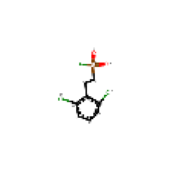 O=S(=O)(F)CCc1c(Cl)cccc1Cl